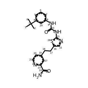 CC(C)(C)c1cccc(NC(=O)Nc2ncc(CCc3ccnc(C(N)=O)c3)s2)c1